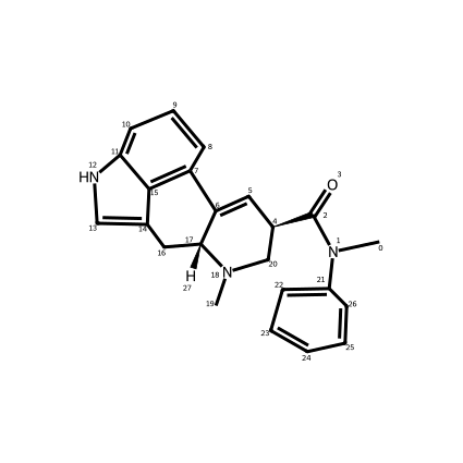 CN(C(=O)[C@@H]1C=C2c3cccc4[nH]cc(c34)C[C@H]2N(C)C1)c1ccccc1